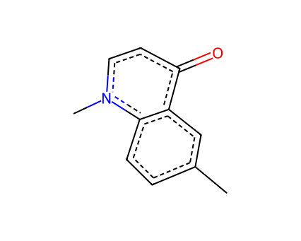 Cc1ccc2c(c1)c(=O)ccn2C